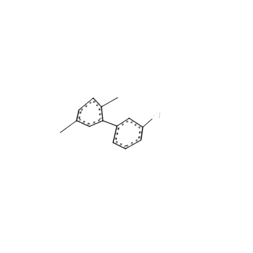 Cc1ccc(C)c(-c2[c]ccc(Cl)c2)c1